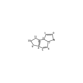 C1=CC2C3=C(C=CC2C1)CCC3